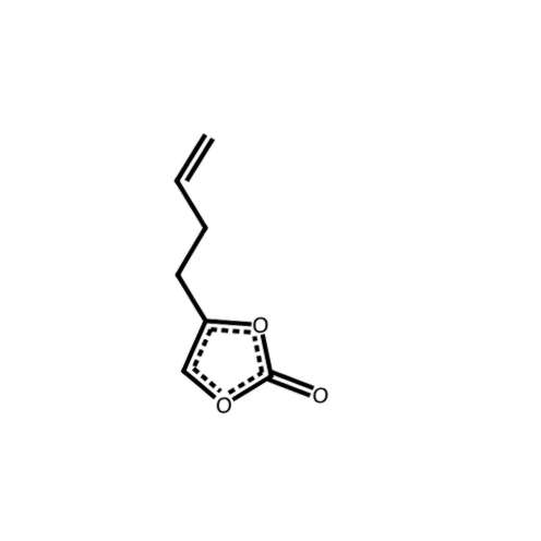 C=CCCc1coc(=O)o1